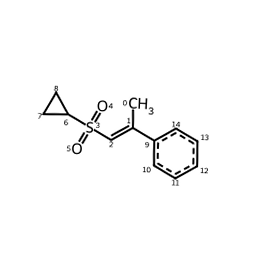 CC(=CS(=O)(=O)C1CC1)c1ccccc1